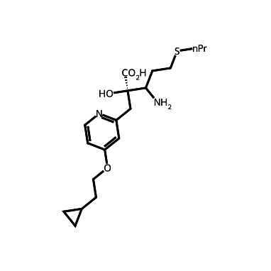 CCCSCCC(N)[C@](O)(Cc1cc(OCCC2CC2)ccn1)C(=O)O